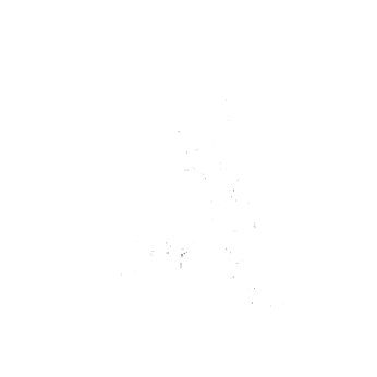 COCCCCc1cc(CN(C(=O)[C@H]2C[C@H](C(=O)NCCC(C)C)CN(C(=O)OC(C)(C)C)C2)C2CC2)ccc1OC